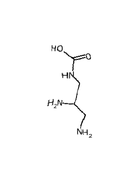 NCC(N)CNC(=O)O